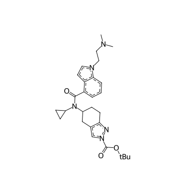 CN(C)CCn1ccc2c(C(=O)N(C3CC3)C3CCc4nn(C(=O)OC(C)(C)C)cc4C3)cccc21